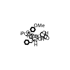 COc1ccc(S(=O)(=O)N(CC(C)C)C[C@@H](O)[C@H](Cc2ccccc2)NC(=O)O[C@H]2CCO[C@H]3COC[C@H]32)cc1